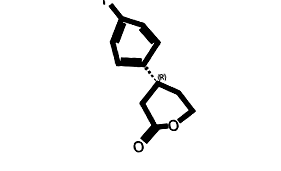 O=C1C[C@H](c2ccc(F)cc2)CCO1